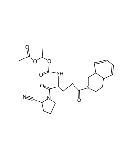 CC(=O)OC(C)OC(=O)NC(CCC(=O)N1CCC2C=CC=CC2C1)C(=O)N1CCCC1C#N